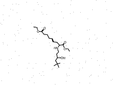 CCOC(=O)CCCC=CCC(NCCC(O)CC(C)(C)C)C(=O)OCC